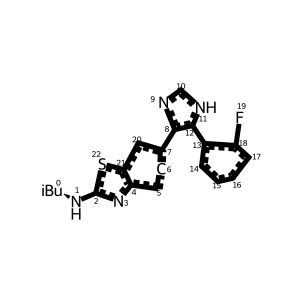 CC[C@@H](C)Nc1nc2ccc(-c3nc[nH]c3-c3ccccc3F)cc2s1